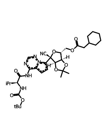 CC(C)[C@H](NC(=O)OC(C)(C)C)C(=O)Nc1ncnn2c([C@]3(C#N)O[C@H](COC(=O)CC4CCCCC4)[C@H]4OC(C)(C)O[C@H]43)ccc12